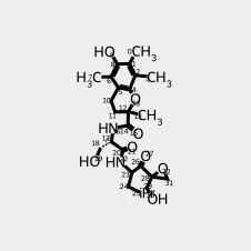 Cc1c(C)c2c(c(C)c1O)CCC(C)(C(=O)N[C@@H](CO)C(=O)NC(CC(C)C)C(=O)C1(CO)CO1)O2